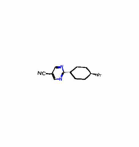 CCC[C@H]1CC[C@H](c2ncc(C#N)cn2)CC1